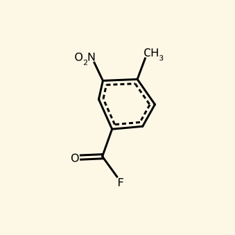 Cc1ccc(C(=O)F)cc1[N+](=O)[O-]